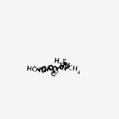 Cc1cn2cc(-c3cc4ccc(N5CCN(CCO)CC5)cc4c(=O)s3)cc2c(C)n1